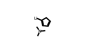 CN(C)C.[Li][C]1=CC=CC1